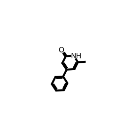 Cc1cc(-c2ccccc2)cc(=O)[nH]1